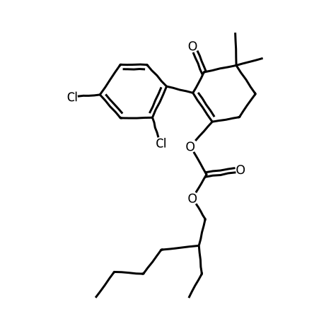 CCCCC(CC)COC(=O)OC1=C(c2ccc(Cl)cc2Cl)C(=O)C(C)(C)CC1